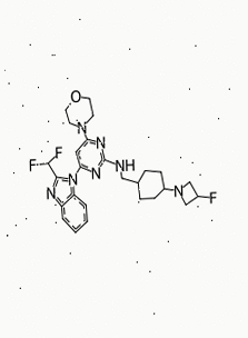 FC1CN(C2CCC(CNc3nc(N4CCOCC4)cc(-n4c(C(F)F)nc5ccccc54)n3)CC2)C1